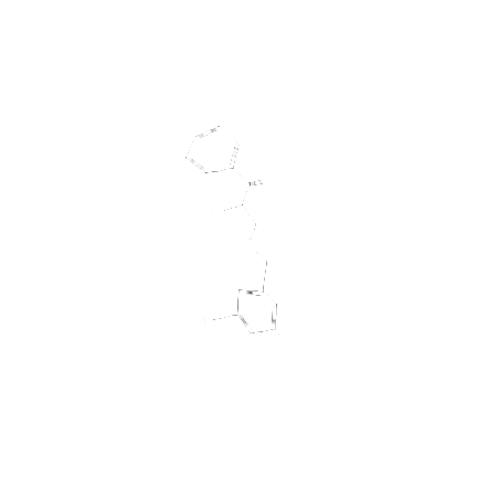 O=C(c1ccccc1)C(Br)COCc1cc(F)cc(F)c1